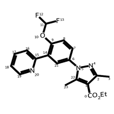 CCOC(=O)c1c(C)nn(-c2ccc(OC(F)F)c(-c3ccccn3)c2)c1C